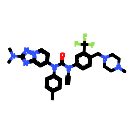 C#CN(C(=O)N(c1ccc(C)cc1)c1ccn2nc(N(C)C)nc2c1)c1ccc(CN2CCN(C)CC2)c(C(F)(F)F)c1